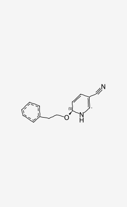 N#CC1=[C]N[C@@H](OCCc2ccccc2)C=C1